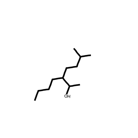 CCCCC(CCC(C)C)C(C)O